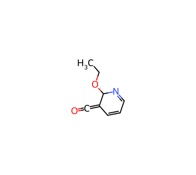 CCOC1N=CC=CC1=C=O